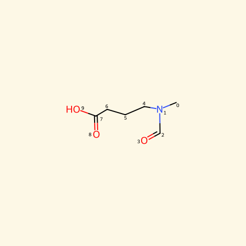 CN(C=O)CCCC(=O)O